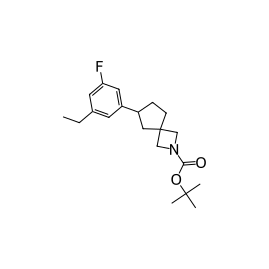 CCc1cc(F)cc(C2CCC3(C2)CN(C(=O)OC(C)(C)C)C3)c1